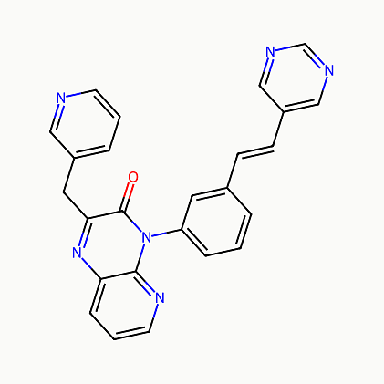 O=c1c(Cc2cccnc2)nc2cccnc2n1-c1cccc(/C=C/c2cncnc2)c1